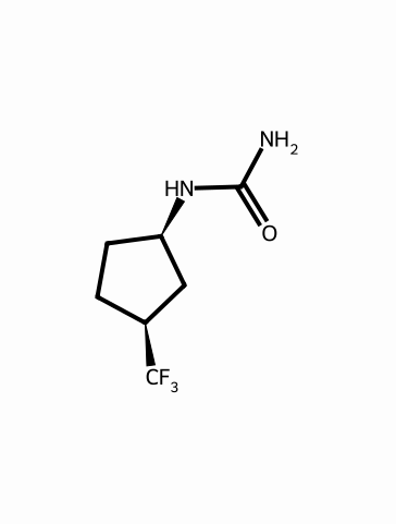 NC(=O)N[C@@H]1CC[C@H](C(F)(F)F)C1